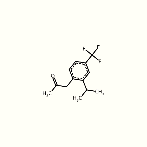 CC(=O)Cc1ccc(C(F)(F)F)cc1C(C)C